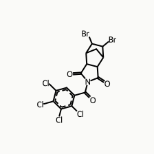 O=C(c1cc(Cl)c(Cl)c(Cl)c1Cl)N1C(=O)C2C3CC(C(Br)C3Br)C2C1=O